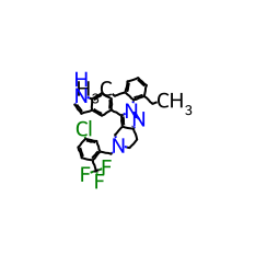 CCc1cccc(CC)c1-n1nc2c(c1-c1ccc3[nH]ccc3c1)CN(Cc1cc(Cl)ccc1C(F)(F)F)CC2